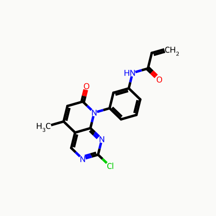 C=CC(=O)Nc1cccc(-n2c(=O)cc(C)c3cnc(Cl)nc32)c1